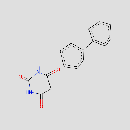 O=C1CC(=O)NC(=O)N1.c1ccc(-c2ccccc2)cc1